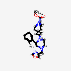 CC(C)c1ccccc1C1CN(Cc2cocn2)CCN1C1CC2(CCN(C(=O)OC(C)(C)C)CC2)C1